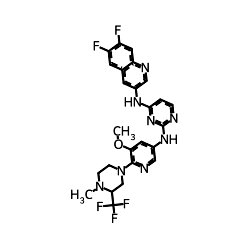 COc1cc(Nc2nccc(Nc3cnc4cc(F)c(F)cc4c3)n2)cnc1N1CCN(C)C(C(F)(F)F)C1